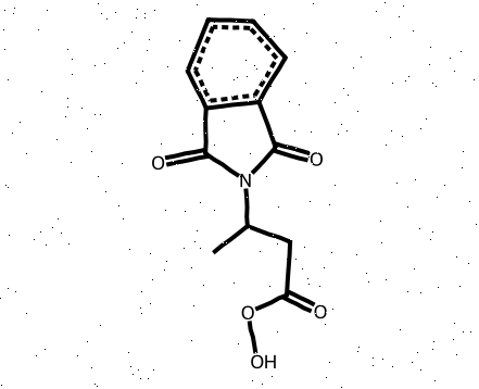 CC(CC(=O)OO)N1C(=O)c2ccccc2C1=O